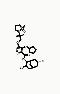 CCC1CC2CC(C[C@@H](O)C2)[C@@H]1NC(=O)c1onc(OCC(C)(C)N2CCCS2(=O)=O)c1SC1CCCC1